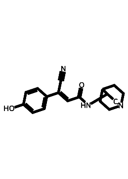 N#CC(=CC(=O)NC1CN2CCC1CC2)c1ccc(O)cc1